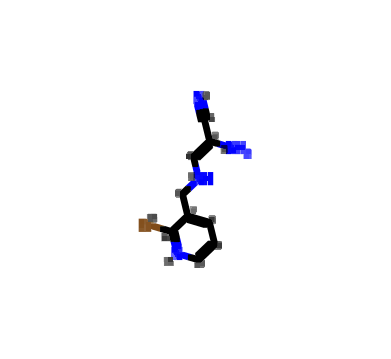 N#C/C(N)=C/NCc1cccnc1Br